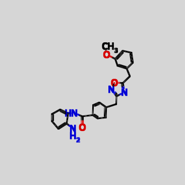 COc1cccc(Cc2nc(Cc3ccc(C(=O)Nc4ccccc4N)cc3)no2)c1